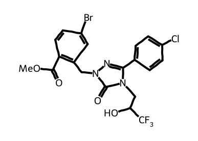 COC(=O)c1ccc(Br)cc1Cn1nc(-c2ccc(Cl)cc2)n(CC(O)C(F)(F)F)c1=O